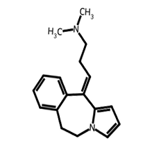 CN(C)CC/C=C1\c2ccccc2CCn2cccc21